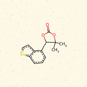 CC1(C)OC(=O)OC1c1cccc2sccc12